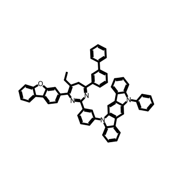 CCC1=C(c2ccc3c(c2)oc2ccccc23)N=C(c2cccc(-n3c4ccccc4c4cc5c(cc43)c3ccccc3n5-c3ccccc3)c2)N=C(c2cccc(-c3ccccc3)c2)C1